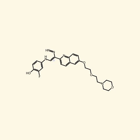 N=N/C(=C\Nc1ccc(O)c(F)c1)c1ccc2cc(OCCOCCN3CCOCC3)ccc2n1